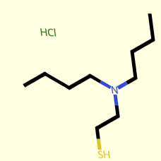 CCCCN(CCS)CCCC.Cl